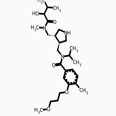 COCCCOc1cc(C(=O)N(C[C@@H]2CNC[C@H]2CN(C)C(=O)C(O)C(C)C)C(C)C)ccc1C